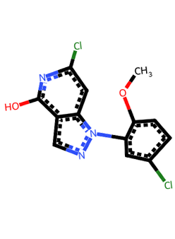 COc1ccc(Cl)cc1-n1ncc2c(O)nc(Cl)cc21